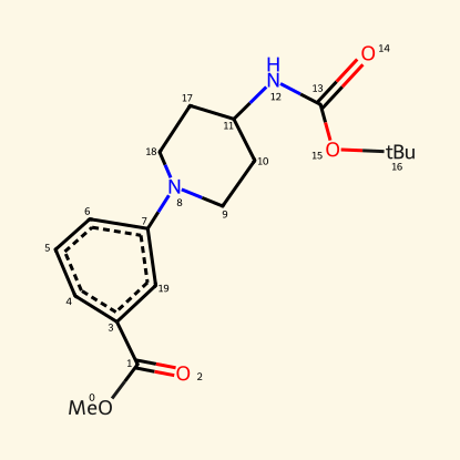 COC(=O)c1cccc(N2CCC(NC(=O)OC(C)(C)C)CC2)c1